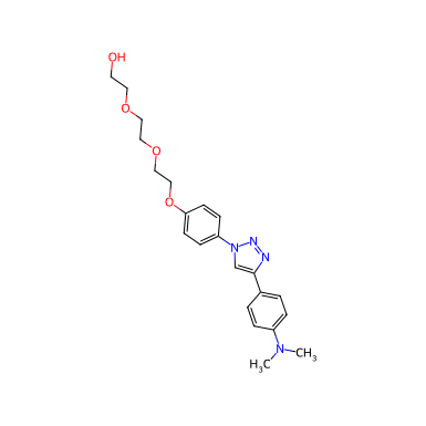 CN(C)c1ccc(-c2cn(-c3ccc(OCCOCCOCCO)cc3)nn2)cc1